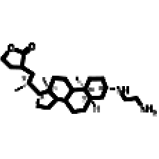 C[C@H](CC1CCOC1=O)[C@H]1CCC2C3CC[C@@H]4C[C@@H](NCCN)CC[C@]4(C)C3CC[C@@]21C